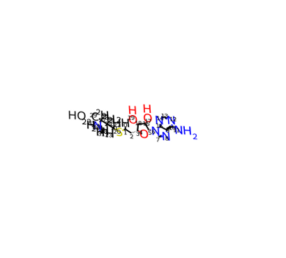 [2H]C(C[C@H]1O[C@@H](n2cnc3c(N)ncnc32)[C@H](O)[C@@H]1O)SC([2H])([2H])C([2H])([2H])[C@@]([2H])(C(=O)O)N([2H])[2H]